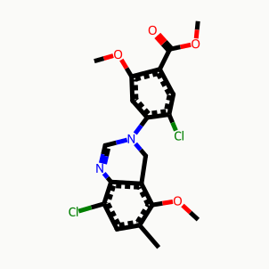 COC(=O)c1cc(Cl)c(N2C=Nc3c(Cl)cc(C)c(OC)c3C2)cc1OC